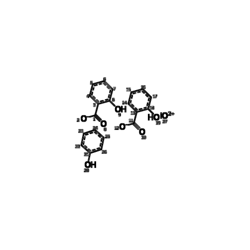 O=C([O-])c1ccccc1O.O=C([O-])c1ccccc1O.Oc1ccccc1.[O+2]